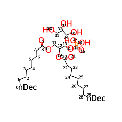 CCCCCCCCCCCCCCCCCC(=O)OCC(COP(=O)(O)O)OC(=O)CCCCCCCCCCCCCCCCC.OCC(O)CO